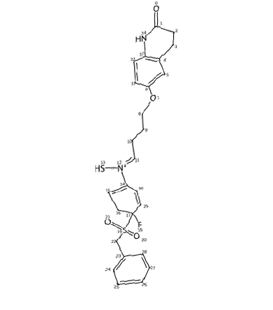 O=C1CCc2cc(OCCCC=[N+](S)C3=CCC(F)(S(=O)(=O)Cc4ccccc4)C=C3)ccc2N1